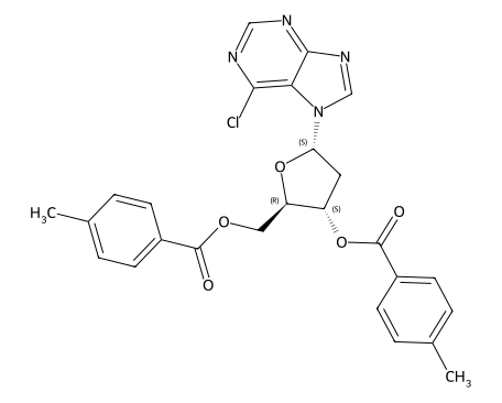 Cc1ccc(C(=O)OC[C@H]2O[C@H](n3cnc4ncnc(Cl)c43)C[C@@H]2OC(=O)c2ccc(C)cc2)cc1